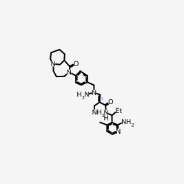 CCC(NC(=O)/C(=C/N(N)Cc1ccc(N2CCCN3CCCCC(C3)C2=O)cc1)CN)c1c(C)ccnc1N